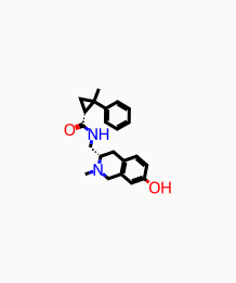 CN1Cc2cc(O)ccc2C[C@H]1CNC(=O)[C@@H]1CC1(C)c1ccccc1